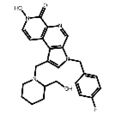 O=c1c2ncc3c(c(CN4CCCCC4CO)cn3Cc3ccc(F)cc3)c2ccn1O